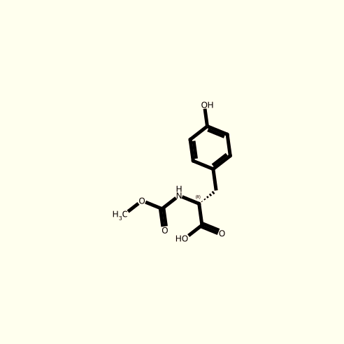 COC(=O)N[C@H](Cc1ccc(O)cc1)C(=O)O